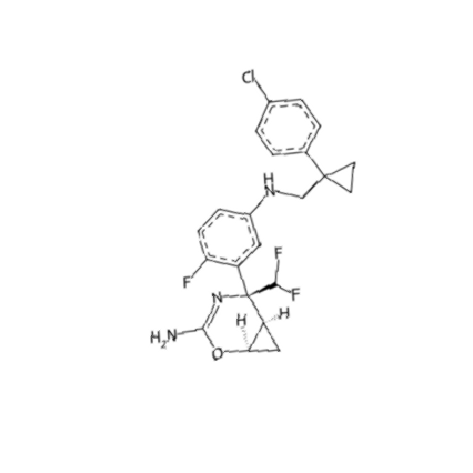 NC1=N[C@@](c2cc(NCC3(c4ccc(Cl)cc4)CC3)ccc2F)(C(F)F)[C@H]2C[C@H]2O1